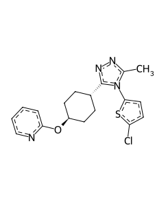 Cc1nnc([C@H]2CC[C@H](Oc3ccccn3)CC2)n1-c1ccc(Cl)s1